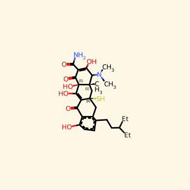 CCC(CC)CCc1ccc(O)c2c1C[C@@]1(S)C[C@@]3(C)C(N(C)C)C(O)=C(C(N)=O)C(=O)[C@@]3(O)C(O)=C1C2=O